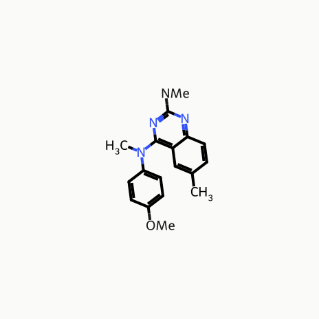 CNc1nc(N(C)c2ccc(OC)cc2)c2cc(C)ccc2n1